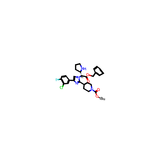 CC(C)(C)OC(=O)N1CCC(c2nc(-c3ccc(F)c(Cl)c3)cn2[C@@H](C(=O)OCc2ccccc2)C2CCCN2)CC1